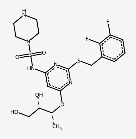 C[C@@H](Oc1cc(NS(=O)(=O)N2CCNCC2)nc(SCc2cccc(F)c2F)n1)[C@@H](O)CO